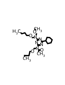 CCCCOCN(COC)c1nc(C2CCCCC2)nc(N(COCCCC)C(C)=O)n1